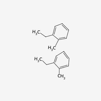 CCc1ccccc1C.CCc1ccccc1C